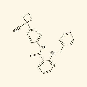 N#CC1(c2ccc(NC(=O)c3cccnc3NCc3ccncc3)cc2)CCC1